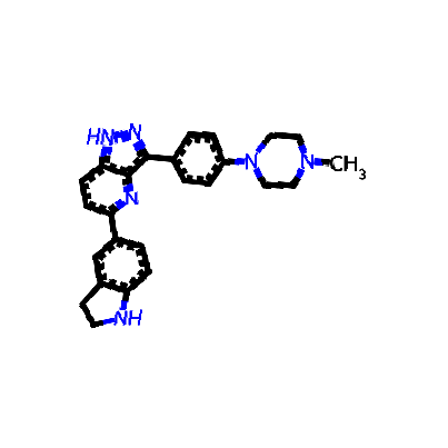 CN1CCN(c2ccc(-c3n[nH]c4ccc(-c5ccc6c(c5)CCN6)nc34)cc2)CC1